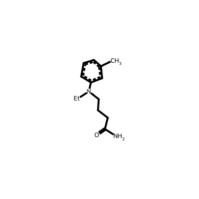 CCN(CCCC(N)=O)c1cccc(C)c1